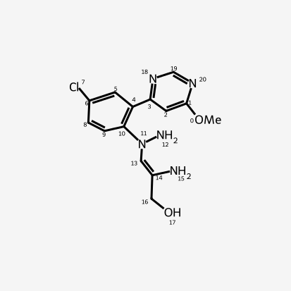 COc1cc(-c2cc(Cl)ccc2N(N)/C=C(\N)CO)ncn1